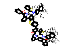 Cc1cc2c(cc1N1c3cc4c(sc5cc(-c6ccc7c(c6)oc6c8cccc9c8n(c76)B6c7c-9cc8c(c7N(c7cc9c(cc7C)C(C)(C)CCC9(C)C)c7sc9ccccc9c76)C(C)(C)c6ccccc6-8)ccc54)c4c3B(c3c1sc1ccccc31)n1c3oc5ccccc5c3c3cccc-4c31)C(C)(C)CCC2(C)C